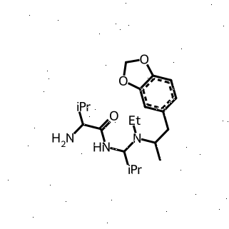 CCN(C(C)Cc1ccc2c(c1)OCO2)C(NC(=O)C(N)C(C)C)C(C)C